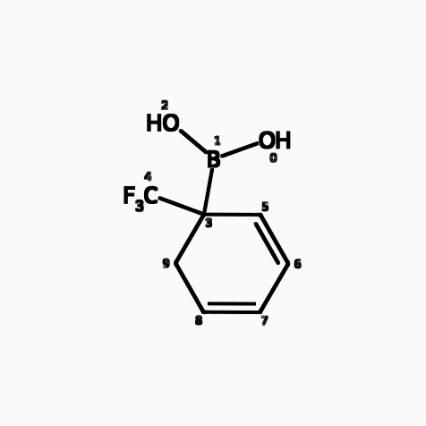 OB(O)C1(C(F)(F)F)C=CC=CC1